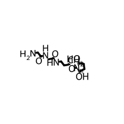 C=C(CCNC(=O)CNC(=O)CN)ON1[C@H](O)CC[C@@H]1O